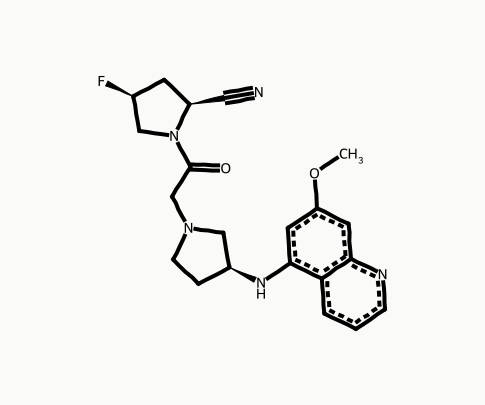 COc1cc(N[C@H]2CCN(CC(=O)N3C[C@@H](F)C[C@H]3C#N)C2)c2cccnc2c1